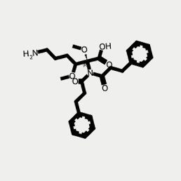 COC(CCCN)[C@@](OC)(C(=O)O)N(C(=O)CCc1ccccc1)C(=O)CCc1ccccc1